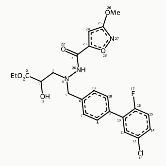 CCOC(=O)C(O)CN(Cc1ccc(-c2cc(Cl)ccc2F)cc1)NC(=O)c1cc(OC)no1